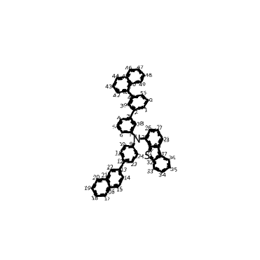 c1cc(-c2cccc(N(c3ccc(-c4ccc5ccccc5c4)cc3)c3cccc4c3sc3ccccc34)c2)cc(-c2cccc3ccccc23)c1